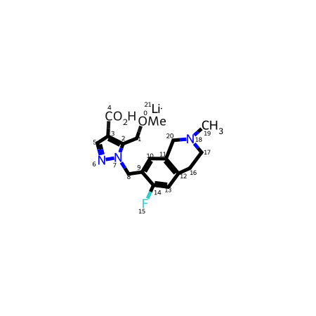 COCc1c(C(=O)O)cnn1Cc1cc2c(cc1F)CCN(C)C2.[Li]